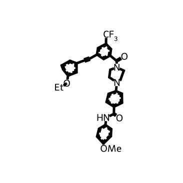 CCOc1cccc(C#Cc2cc(C(=O)N3CCN(c4ccc(C(=O)Nc5ccc(OC)cc5)cc4)CC3)cc(C(F)(F)F)c2)c1